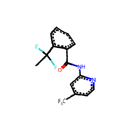 CC(F)(F)c1ccccc1C(=O)Nc1cc(C(F)(F)F)ccn1